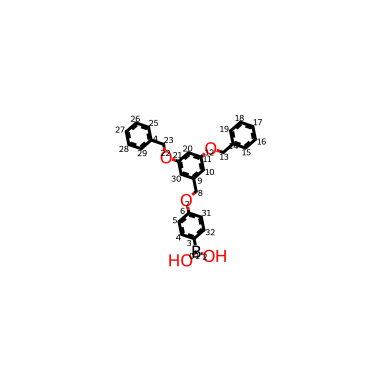 OB(O)c1ccc(OCc2cc(OCc3ccccc3)cc(OCc3ccccc3)c2)cc1